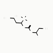 CCCC(OC(=O)OC(C)CC)[Si](C)(C)O